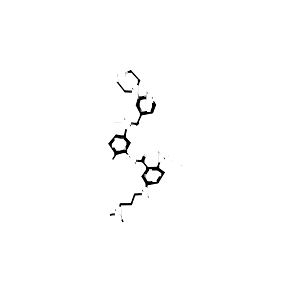 Cc1ccc(NC(=O)c2ccnc(N3CCOCC3)c2)cc1NC(=O)c1cc(NCCCN(C)C)ccc1[N+](=O)[O-]